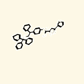 O=C(Nc1ccc(C(COC(c2ccccc2)(c2ccccc2)c2ccccc2)c2ccccc2)cc1)C1CC(c2cccnc2)=NO1